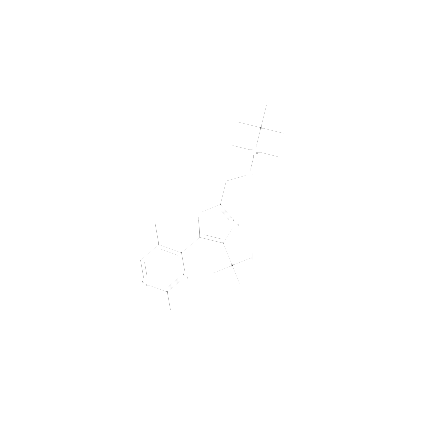 Cc1cnc(Cl)nc1-c1sc(CO[Si](C)(C)C(C)(C)C)nc1C(F)(F)F